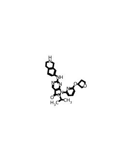 CC(C)n1c(=O)c2cnc(Nc3ccc4c(c3)CNCC4)nc2n1-c1cccc(OC2CCOC2)n1